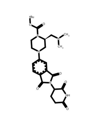 CN(C)C[C@H]1CN(c2ccc3c(c2)C(=O)N(C2CCC(=O)NC2=O)C3=O)CCN1C(=O)OC(C)(C)C